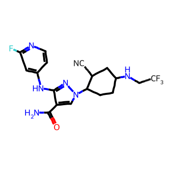 N#CC1CC(NCC(F)(F)F)CCC1n1cc(C(N)=O)c(Nc2ccnc(F)c2)n1